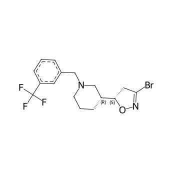 FC(F)(F)c1cccc(CN2CCC[C@@H]([C@@H]3CC(Br)=NO3)C2)c1